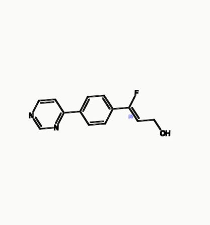 OC/C=C(\F)c1ccc(-c2ccncn2)cc1